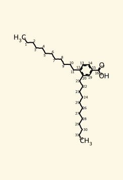 CCCCCCCCCCCCc1ccc(C(=O)O)cc1CCCCCCCCCCCC